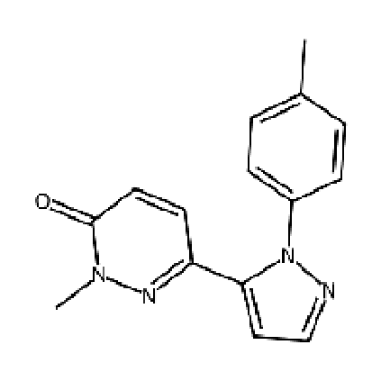 Cc1ccc(-n2nccc2-c2ccc(=O)n(C)n2)cc1